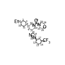 CCc1ccc(C2CC(c3cn(-c4cccc(C(F)(F)F)c4)cn3)CN(C(=O)N3CCOCC3)C2)cc1